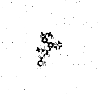 Cc1nc2ccc(-c3cc(C[C@H](NC(=O)OC(C)(C)C)C(=O)COC(=O)C4CCCNN4)cc(O[Si](C(C)C)(C(C)C)C(C)C)c3)cc2n1CC(C)(C)CO